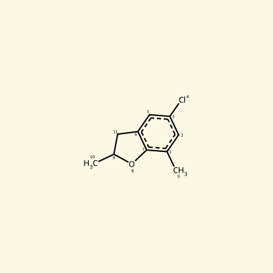 Cc1cc(Cl)cc2c1OC(C)C2